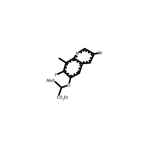 CCOC(=O)C(Oc1cc2cc(Br)cnc2c(C)c1F)SC